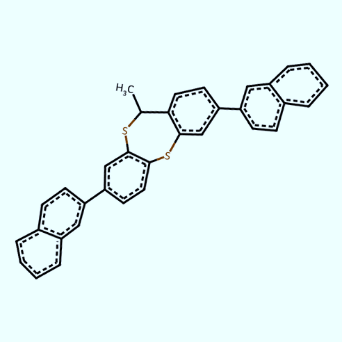 CC1Sc2cc(-c3ccc4ccccc4c3)ccc2Sc2cc(-c3ccc4ccccc4c3)ccc21